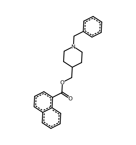 O=C(OCC1CCN(Cc2ccccc2)CC1)c1cccc2ccccc12